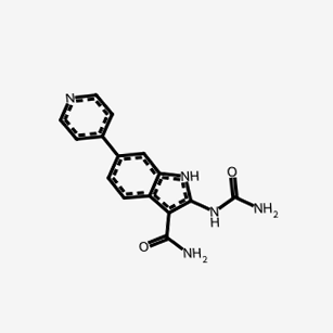 NC(=O)Nc1[nH]c2cc(-c3ccncc3)ccc2c1C(N)=O